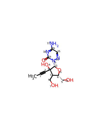 CC#CC1(O)C(CO)[C@@H](CO)O[C@H]1n1ncc(N)nc1=O